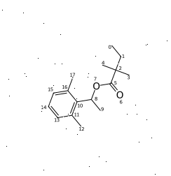 CCC(C)(C)C(=O)OC(C)c1c(C)cccc1C